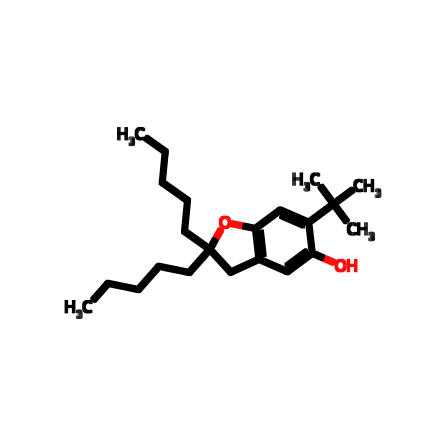 CCCCCC1(CCCCC)Cc2cc(O)c(C(C)(C)C)cc2O1